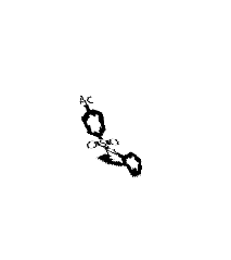 CC(=O)c1ccc(S(=O)(=O)n2ccc3ccccc32)cc1